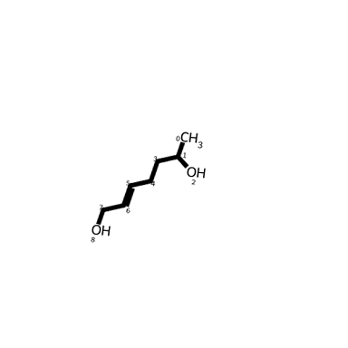 CC(O)CCC=CCO